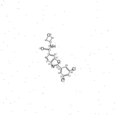 O=C(NC1COC1)c1ccc2nc(-c3cc(Cl)cc(Cl)c3)oc2c1